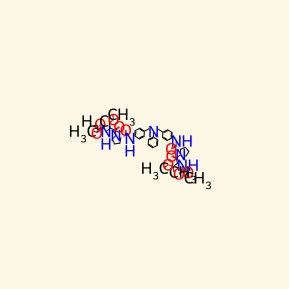 COC(=O)N[C@H](C(=O)N1CCC[C@H]1C(=O)Nc1ccc(CN(Cc2ccc(NC(=O)[C@@H]3CCCN3C(=O)[C@@H](NC(=O)OC)[C@@H](C)OC)cc2)c2ccccc2)cc1)[C@@H](C)OC